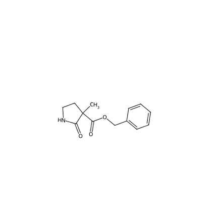 CC1(C(=O)OCc2ccccc2)CCNC1=O